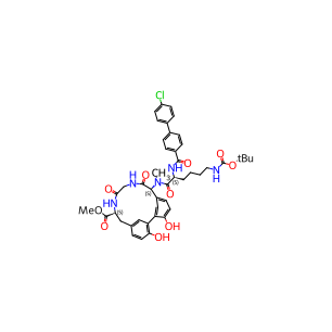 COC(=O)[C@@H]1Cc2ccc(O)c(c2)-c2cc(ccc2O)[C@H](N(C)C(=O)[C@H](CCCCNC(=O)OC(C)(C)C)NC(=O)c2ccc(-c3ccc(Cl)cc3)cc2)C(=O)NCC(=O)N1